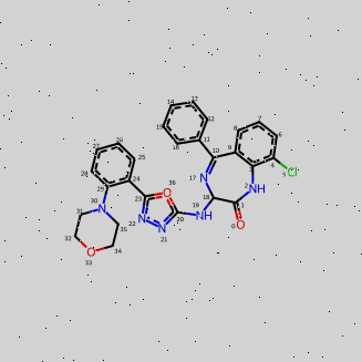 O=C1Nc2c(Cl)cccc2C(c2ccccc2)=NC1Nc1nnc(-c2ccccc2N2CCOCC2)o1